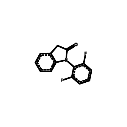 O=C1Cc2ccccc2N1c1c(F)cccc1F